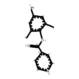 Cc1cc(C(C)C)cc(C)c1OC(=O)c1ccncc1